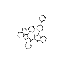 Cc1cccc2c3c4ccccc4n(-c4nc(-c5ccc(-c6ccccc6)cc5)c5ccccc5n4)c3c(-c3ccccc3)n12